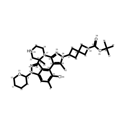 Cc1cc2c(cnn2C2CCCCO2)c(-c2c(N3CCNCC3(C)C)nn(C3CC4(C3)CN(C(=O)OC(C)(C)C)C4)c2C)c1Cl